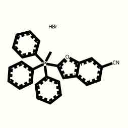 Br.CP(c1ccccc1)(c1ccccc1)(c1ccccc1)c1cc2ccc(C#N)cc2o1